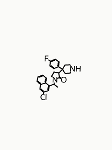 CC(c1cc(Cl)cc2ccccc12)N1CCC(C2(c3ccc(F)cc3)CCNCC2)C1=O